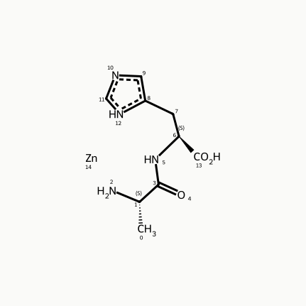 C[C@H](N)C(=O)N[C@@H](Cc1cnc[nH]1)C(=O)O.[Zn]